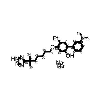 CCc1cc(-c2cccc(N(C)C)c2)c(O)cc1OCCCCCC(C)(C)c1nn[nH]n1.[Na].[Na]